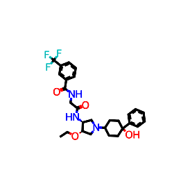 CCO[C@H]1CN(C2CCC(O)(c3ccccc3)CC2)C[C@@H]1NC(=O)CNC(=O)c1cccc(C(F)(F)F)c1